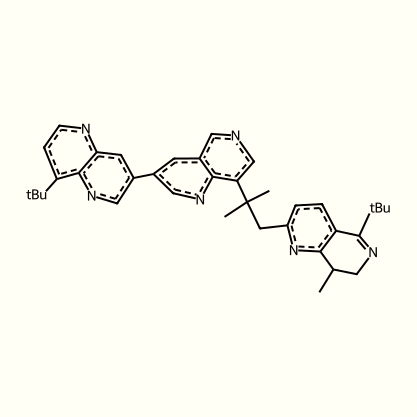 CC1CN=C(C(C)(C)C)c2ccc(CC(C)(C)c3cncc4cc(-c5cnc6c(C(C)(C)C)ccnc6c5)cnc34)nc21